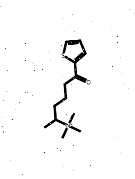 CC(CCCC(=O)c1cccs1)[N+](C)(C)C